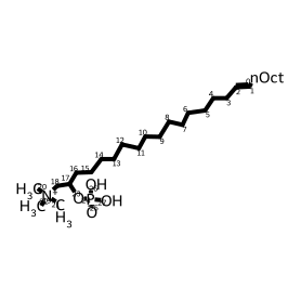 CCCCCCCCC=CCCCCCCCCCCCCCCC(C[N+](C)(C)C)OP(=O)(O)O